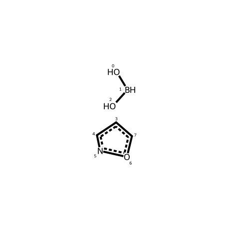 OBO.c1cnoc1